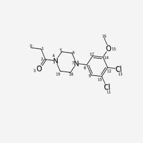 CCC(=O)N1CCN(c2cc(Cl)c(Cl)c(OC)c2)CC1